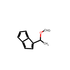 CC(OC=O)C1=CC=C2C=CC=C21